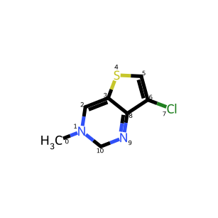 CN1C=c2scc(Cl)c2=NC1